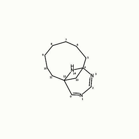 C1=NC=NC23CCCCCCCC1(C2)N3